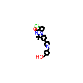 CC1(C)c2cc(C3CCN(CC4CCC(CO)CC4)CC3)ccc2-n2c1nc(=O)c1c(Cl)cccc12